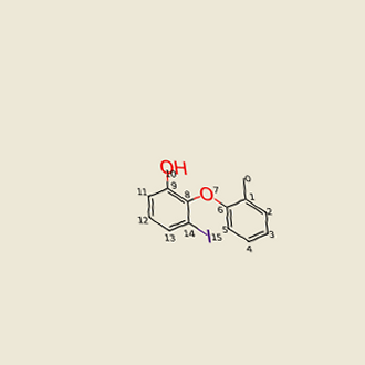 Cc1ccccc1Oc1c(O)cccc1I